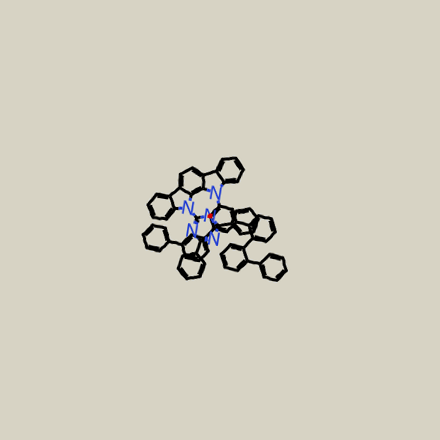 c1ccc(-c2cccc(-c3cc(-c4ccccc4-c4ccccc4-c4ccccc4)cc(-n4c5ccccc5c5ccc6c7ccccc7n(-c7nc(-c8ccccc8)nc(-c8ccccc8)n7)c6c54)c3)c2)cc1